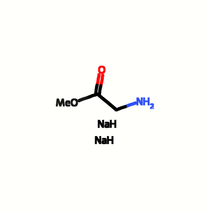 COC(=O)CN.[NaH].[NaH]